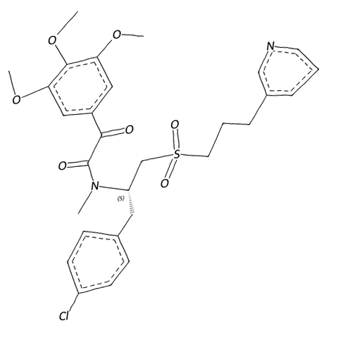 COc1cc(C(=O)C(=O)N(C)[C@@H](Cc2ccc(Cl)cc2)CS(=O)(=O)CCCc2cccnc2)cc(OC)c1OC